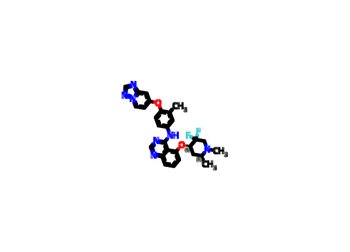 Cc1cc(Nc2ncnc3cccc(O[C@H]4C[C@H](C)N(C)CC4(F)F)c23)ccc1Oc1ccn2ncnc2c1